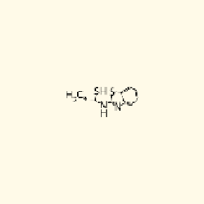 C=CC(S)Nc1nc2ccccc2s1